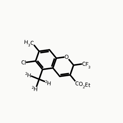 [2H]C([2H])([2H])c1c(Cl)c(C)cc2c1C=C(C(=O)OCC)C(C(F)(F)F)O2